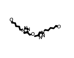 O=CCCCCn1cc(COCc2cn(CCCCC=O)nn2)nn1